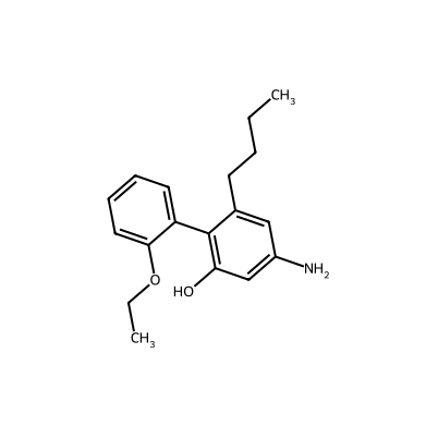 CCCCc1cc(N)cc(O)c1-c1ccccc1OCC